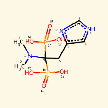 CN(C)C(Cc1c[nH]cn1)(P(=O)(O)O)P(=O)(O)O